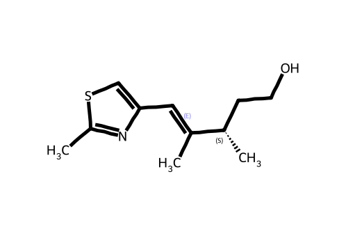 C/C(=C\c1csc(C)n1)[C@@H](C)CCO